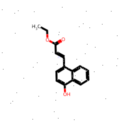 CCOC(=O)/C=C/c1ccc(O)c2ccccc12